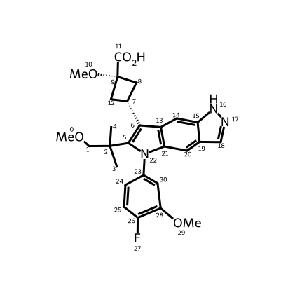 COCC(C)(C)c1c([C@H]2C[C@](OC)(C(=O)O)C2)c2cc3[nH]ncc3cc2n1-c1ccc(F)c(OC)c1